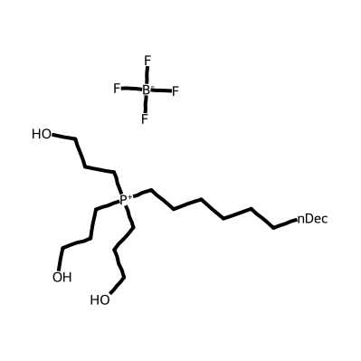 CCCCCCCCCCCCCCCC[P+](CCCO)(CCCO)CCCO.F[B-](F)(F)F